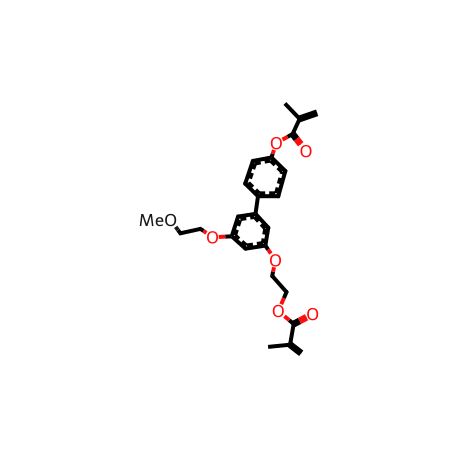 C=C(C)C(=O)OCCOc1cc(OCCOC)cc(-c2ccc(OC(=O)C(=C)C)cc2)c1